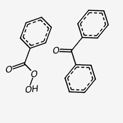 O=C(OO)c1ccccc1.O=C(c1ccccc1)c1ccccc1